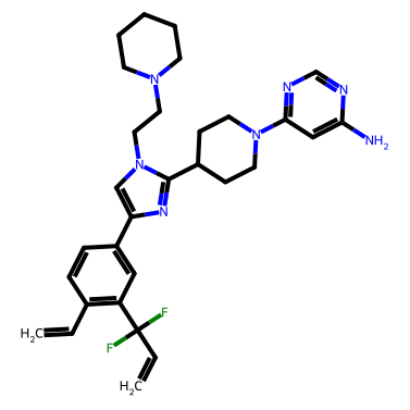 C=Cc1ccc(-c2cn(CCN3CCCCC3)c(C3CCN(c4cc(N)ncn4)CC3)n2)cc1C(F)(F)C=C